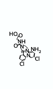 Nc1cc(Cl)cnc1N1CCN(C(=O)NCC(=O)O)C[C@@H]1c1ccc(Cl)cc1